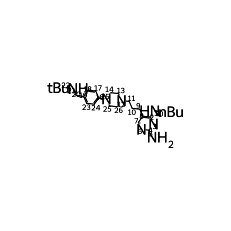 CCCCNc1nc(N)ncc1CCCN1CCN(c2ccc(CNC(C)(C)C)cc2)CC1